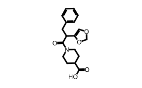 O=C(O)C1CCN(C(=O)C(Cc2ccccc2)C2=COCO2)CC1